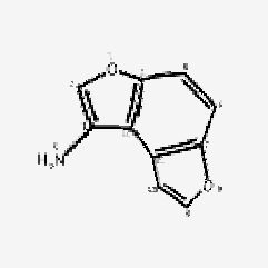 Nc1coc2ccc3occc3c12